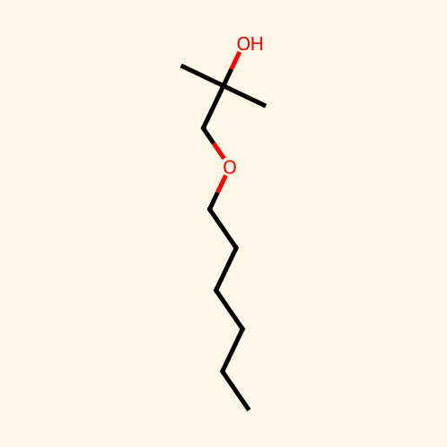 CCCCCCOCC(C)(C)O